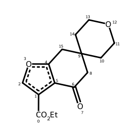 CCOC(=O)c1coc2c1C(=O)CC1(CCOCC1)C2